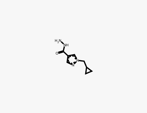 NNC(=O)c1cnn(CC2CC2)c1